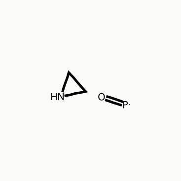 C1CN1.O=[P]